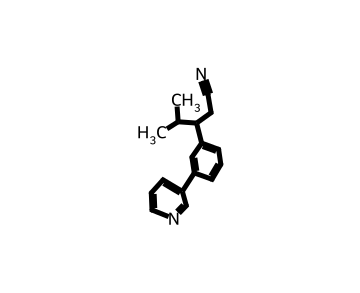 CC(C)C(CC#N)c1cccc(-c2cccnc2)c1